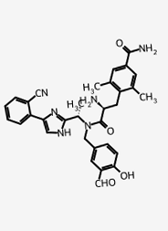 Cc1cc(C(N)=O)cc(C)c1C[C@H](N)C(=O)N(Cc1ccc(O)c(C=O)c1)[C@@H](C)c1nc(-c2ccccc2C#N)c[nH]1